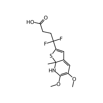 COC1=C(OC)NC2(C)SC(C(F)(F)CCC(=O)O)=CC2=C1